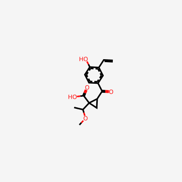 C=Cc1cc(C(=O)C2CC2(C(=O)O)C(C)OC)ccc1O